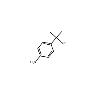 CC(C)C(C)(C)c1ccc([N+](=O)[O-])cc1